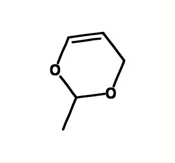 CC1OC=CCO1